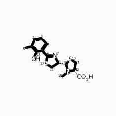 Cc1cccc(C2=NC([C@@H]3SC[C@H](C(=O)O)N3C)CS2)c1O